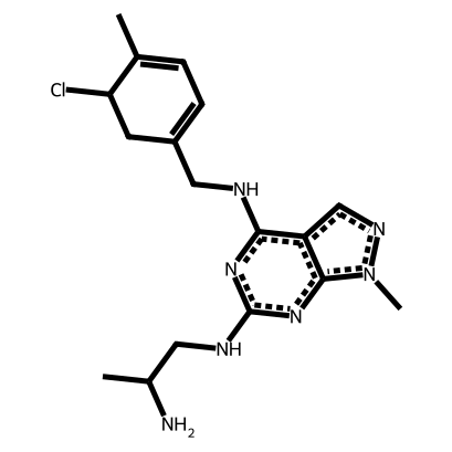 CC1=CC=C(CNc2nc(NCC(C)N)nc3c2cnn3C)CC1Cl